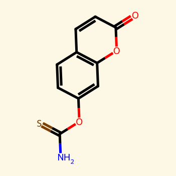 NC(=S)Oc1ccc2ccc(=O)oc2c1